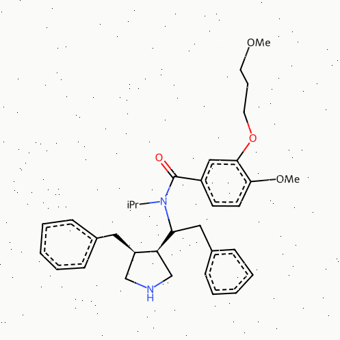 COCCCOc1cc(C(=O)N(C(C)C)C(Cc2ccccc2)[C@H]2CNC[C@H]2Cc2ccccc2)ccc1OC